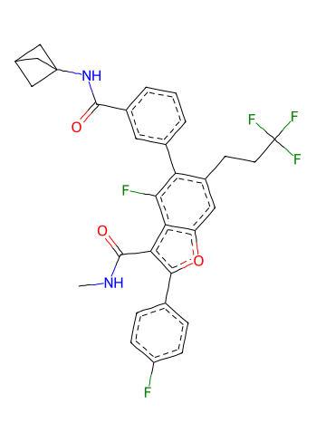 CNC(=O)c1c(-c2ccc(F)cc2)oc2cc(CCC(F)(F)F)c(-c3cccc(C(=O)NC45CC(C4)C5)c3)c(F)c12